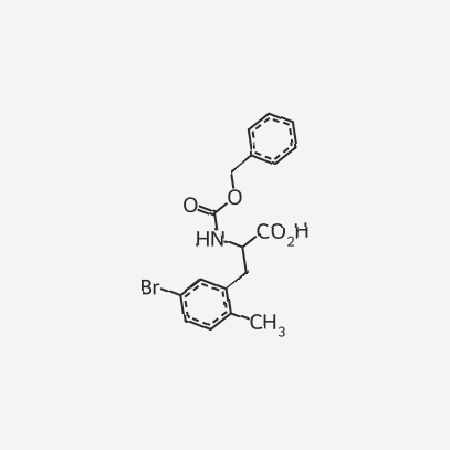 Cc1ccc(Br)cc1CC(NC(=O)OCc1ccccc1)C(=O)O